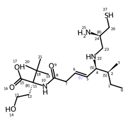 CC[C@H](C)[C@@H](/C=C/CC(=O)N[C@@](CCO)(C(=O)O)C(C)(C)C)NC[C@@H](N)CS